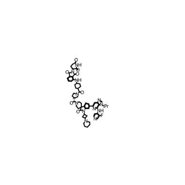 CC(C)n1cnc2cc(-c3ccc4c(c3)N(C3CC(N5CCCCC5)C3)C(=O)C43CCN(C(=O)[C@@H]4CCN(C(=O)C5CCC(Nc6cccc7c6C(=O)N([C@@H]6CCC(=O)NC6=O)C7=O)CC5)C4)CC3)nc(Nc3ccncc3F)c21